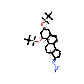 CN/N=C1\CCC2C3=CC=C4C[C@@H](O[Si](C)(C)C(C)(C)C)C[C@H](O[Si](C)(C)C(C)(C)C)[C@]4(C)C3CC[C@]12C